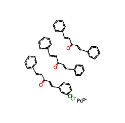 O=C(C=Cc1ccccc1)C=Cc1ccccc1.O=C(C=Cc1ccccc1)C=Cc1ccccc1.O=C(C=Cc1ccccc1)C=Cc1ccccc1.[Cl-].[Cl-].[Pd+2]